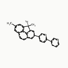 [2H]C1(C)c2cc(C)cc3ccc4cc(-c5ccc(-c6cccnc6)nc5)cc1c4c23